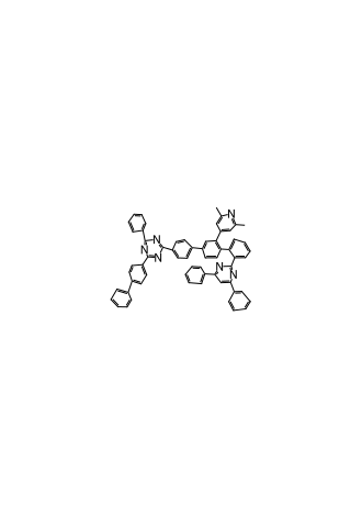 Cc1cc(-c2cc(-c3ccc(-c4nc(-c5ccccc5)nc(-c5ccc(-c6ccccc6)cc5)n4)cc3)ccc2-c2ccccc2-c2nc(-c3ccccc3)cc(-c3ccccc3)n2)cc(C)n1